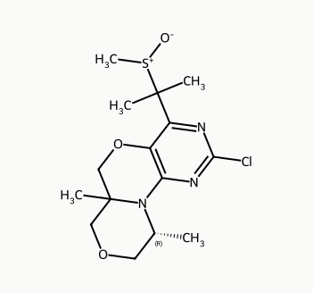 C[C@@H]1COCC2(C)COc3c(nc(Cl)nc3C(C)(C)[S+](C)[O-])N12